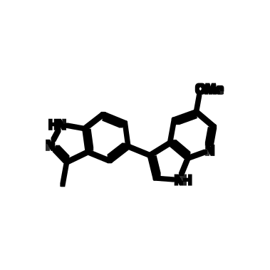 COc1cnc2[nH]cc(-c3ccc4[nH]nc(C)c4c3)c2c1